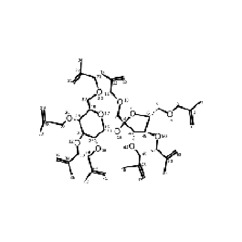 C=C(C)COC[C@H]1O[C@@](COCC(=C)C)(O[C@H]2O[C@H](COCC(=C)C)[C@@H](OCC(=C)C)[C@H](OCC(=C)C)[C@H]2OCC(=C)C)[C@@H](OCC(=C)C)[C@@H]1OCC(=C)C